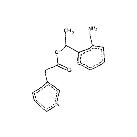 CC(OC(=O)Cc1cccnc1)c1ccccc1N